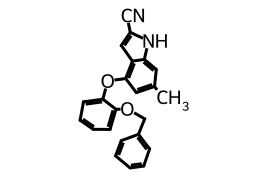 Cc1cc(Oc2ccccc2OCc2ccccc2)c2cc(C#N)[nH]c2c1